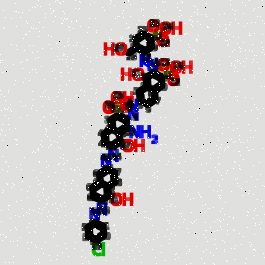 Nc1c(N=Nc2ccc3cc(S(=O)(=O)O)c(N=Nc4cc(S(=O)(=O)O)ccc4CO)c(O)c3c2)c(S(=O)(=O)O)cc2ccc(N=Nc3ccc4c(O)c(N=Nc5ccc(Cl)cc5)ccc4c3)c(O)c12